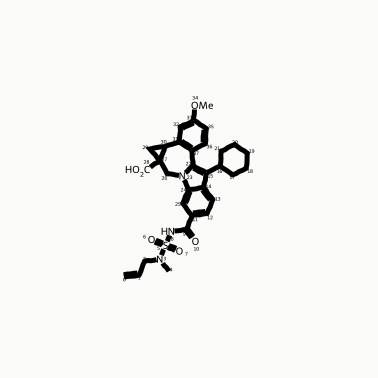 C=CCN(C)S(=O)(=O)NC(=O)c1ccc2c(C3CCCCC3)c3n(c2c1)CC1(C(=O)O)CC1c1cc(OC)ccc1-3